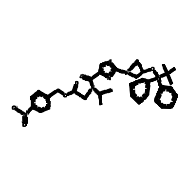 CC(C)N(CC(=O)OCc1ccc([N+](=O)[O-])cc1)C(=O)c1csc(N2CC(O[Si](c3ccccc3)(c3ccccc3)C(C)(C)C)C2)n1